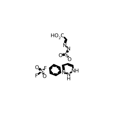 C1=CNNN=C1.O=C(O)C=NN=S(=O)=O.O=S(=O)(F)F.c1ccccc1